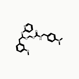 COc1cccc(CC(OCOC(=O)NCc2ccc(N(C)C)cc2)Oc2ccccn2)c1